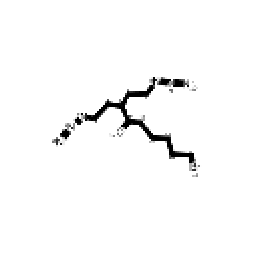 [N-]=[N+]=NCCC(CCN=[N+]=[N-])C(=O)CCCCCBr